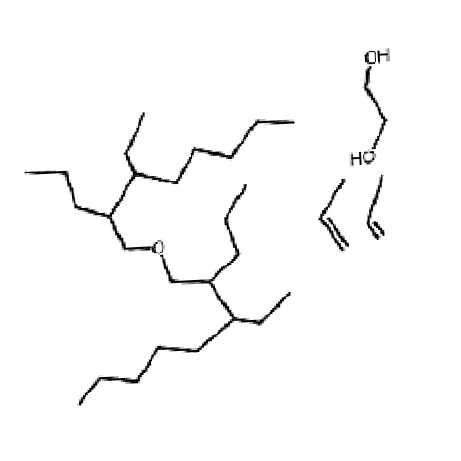 C=CC.C=CC.CCCCCC(CC)C(CCC)COCC(CCC)C(CC)CCCCC.OCCO